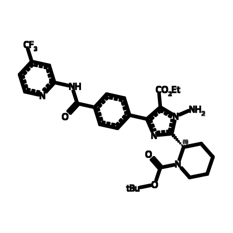 CCOC(=O)c1c(-c2ccc(C(=O)Nc3cc(C(F)(F)F)ccn3)cc2)nc([C@@H]2CCCCN2C(=O)OC(C)(C)C)n1N